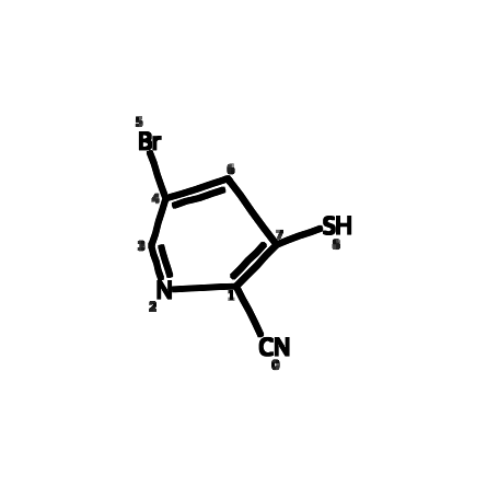 N#Cc1ncc(Br)cc1S